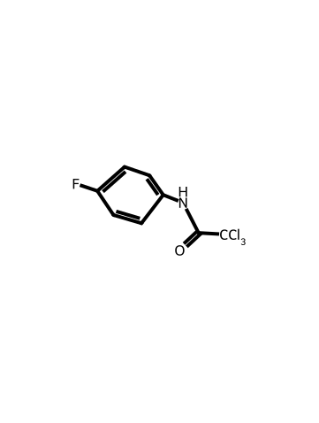 O=C(Nc1ccc(F)cc1)C(Cl)(Cl)Cl